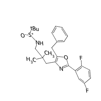 CC(C)(CN[S+]([O-])C(C)(C)C)Cc1nc(-c2cc(F)ccc2F)oc1Cc1ccccc1